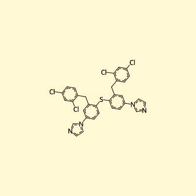 Clc1ccc(Cc2cc(-n3ccnc3)ccc2Sc2ccc(-n3ccnc3)cc2Cc2ccc(Cl)cc2Cl)c(Cl)c1